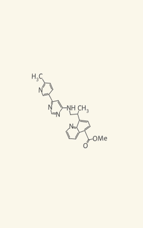 COC(=O)c1ccc(C(C)CNc2cc(-c3ccc(C)nc3)ncn2)c2ncccc12